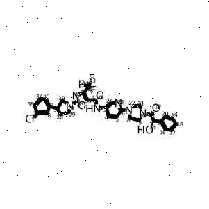 O=C(Nc1ccc(N2CCN(C(=O)[C@H](O)c3ccccc3)CC2)nc1)c1oc(N2CCC(c3cccc(Cl)c3)C2)nc1C(F)(F)F